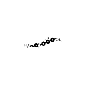 CCCCc1ccc(OCC2CCC(c3ccc(-c4ccc(CC)cc4)c(F)c3F)CC2)c(F)c1